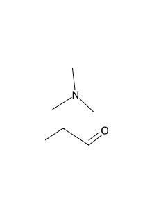 CCC=O.CN(C)C